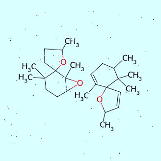 CC1=CCC(C)C(C)(C)C12C=CC(C)O2.CC1CCC2(O1)C(C)(C)CCC1OC12C